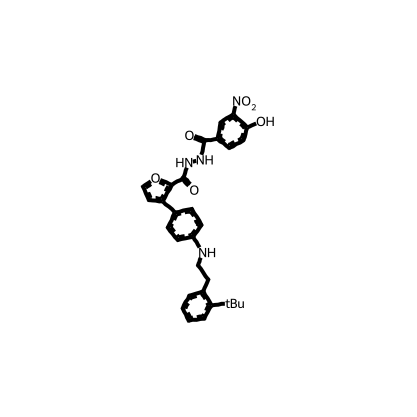 CC(C)(C)c1ccccc1CCNc1ccc(-c2ccoc2C(=O)NNC(=O)c2ccc(O)c([N+](=O)[O-])c2)cc1